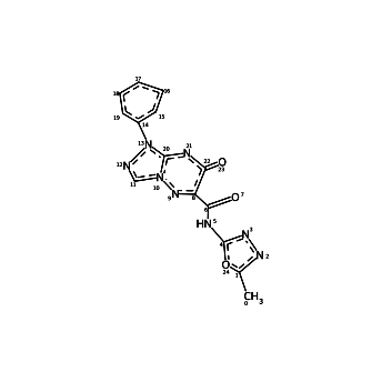 Cc1nnc(NC(=O)c2nn3cnn(-c4ccccc4)c3nc2=O)o1